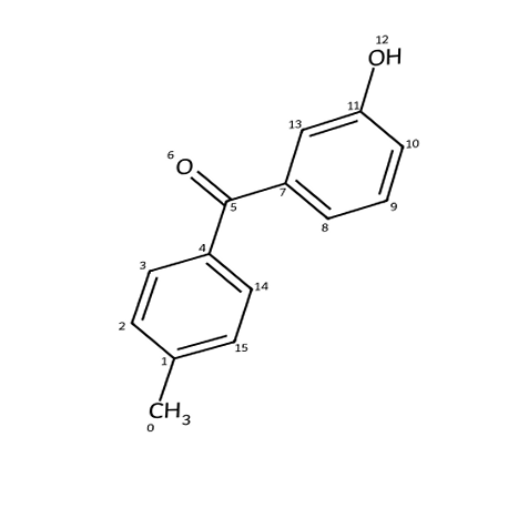 Cc1ccc(C(=O)c2cccc(O)c2)cc1